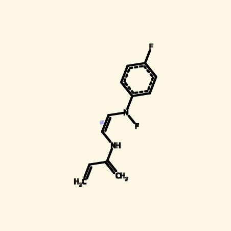 C=CC(=C)N/C=C\N(F)c1ccc(F)cc1